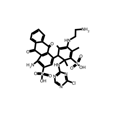 CC1=C(S(=O)(=O)O)C(C)(Nc2ncnc(Cl)n2)C(c2cc(S(=O)(=O)O)c(N)c3c2C(=O)c2ccccc2C3=O)C(C)=C1NCCN